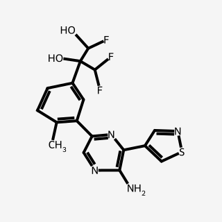 Cc1ccc(C(O)(C(O)F)C(F)F)cc1-c1cnc(N)c(-c2cnsc2)n1